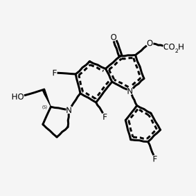 O=C(O)Oc1cn(-c2ccc(F)cc2)c2c(F)c(N3CCC[C@H]3CO)c(F)cc2c1=O